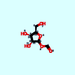 O=COC1O[C@H](CO)[C@@H](O)[C@H]1O